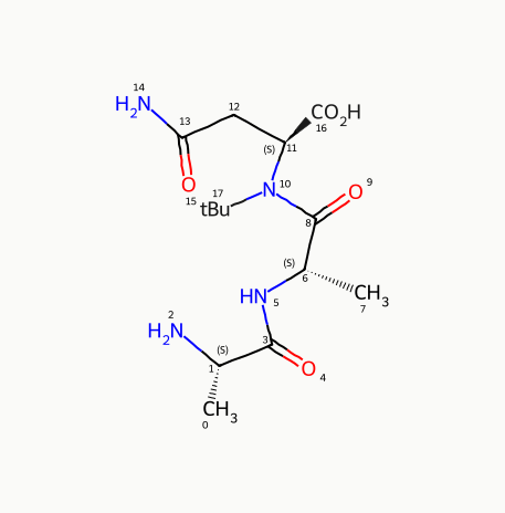 C[C@H](N)C(=O)N[C@@H](C)C(=O)N([C@@H](CC(N)=O)C(=O)O)C(C)(C)C